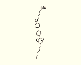 C=CCCCCC[C@H]1CO[C@H](c2ccc(-c3ccc(OCCCCC[C@@H](C)CC)cc3)cc2)OC1